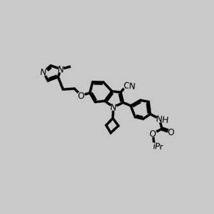 CC(C)OC(=O)Nc1ccc(-c2c(C#N)c3ccc(OCCc4cncn4C)cc3n2C2CCC2)cc1